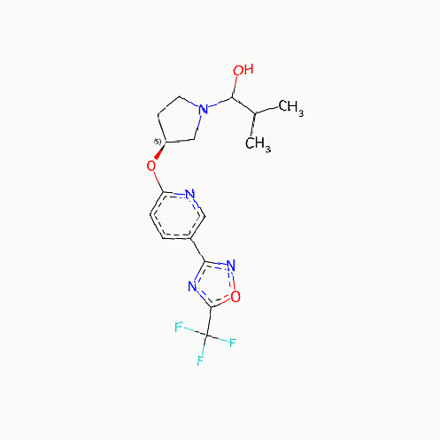 CC(C)C(O)N1CC[C@H](Oc2ccc(-c3noc(C(F)(F)F)n3)cn2)C1